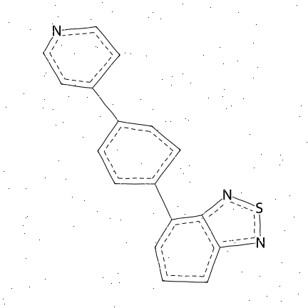 c1cc(-c2ccc(-c3ccncc3)cc2)c2nsnc2c1